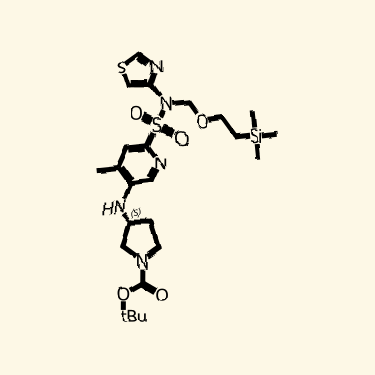 Cc1cc(S(=O)(=O)N(COCC[Si](C)(C)C)c2cscn2)ncc1N[C@H]1CCN(C(=O)OC(C)(C)C)C1